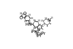 CC(C)[Si](C(C)C)(C(C)C)n1cc(C2CCN(C)CC2)c2ccc(Nc3ccc4c(c3)OCO4)cc21